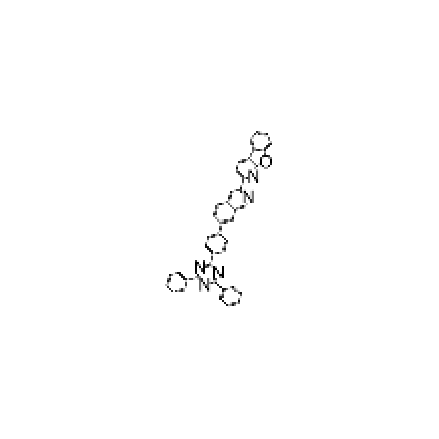 c1ccc(-c2nc(-c3ccccc3)nc(-c3ccc(-c4ccc5cc(-c6ccc7c(n6)oc6ccccc67)ncc5c4)cc3)n2)cc1